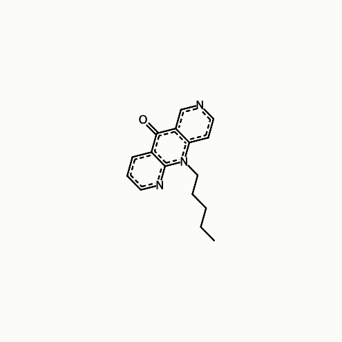 CCCCCn1c2ccncc2c(=O)c2cccnc21